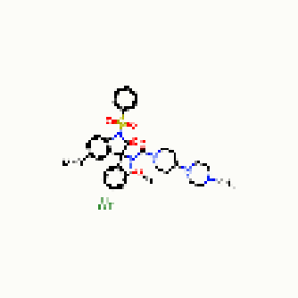 CCOc1ccccc1C1(NC(=O)N2CCC(N3CCN(C)CC3)CC2)C(=O)N(S(=O)(=O)c2ccccc2)c2ccc(OC)cc21.Cl.Cl